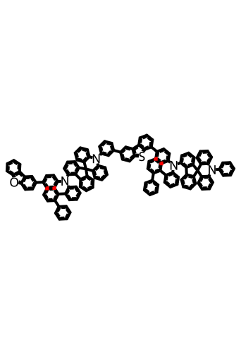 c1ccc(-c2ccccc2-c2ccccc2N(c2ccc(-c3cccc4c3sc3ccc(-c5cccc(N6c7ccccc7C7(c8ccccc8-c8c(N(c9ccc(-c%10ccc%11oc%12ccccc%12c%11c%10)cc9)c9ccccc9-c9ccccc9-c9ccccc9)cccc87)c7ccccc76)c5)cc34)cc2)c2cccc3c2-c2ccccc2C32c3ccccc3N(c3ccccc3)c3ccccc32)cc1